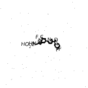 O=C(O)NCc1cc2cc(-c3ccc(C(=O)N4CCC(F)(F)CC4)cn3)cc(C(F)(F)F)c2o1